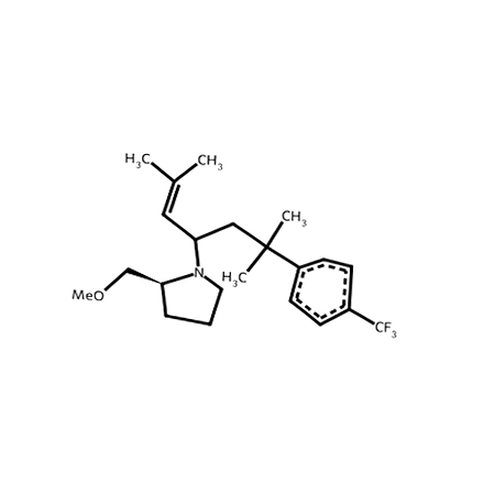 COC[C@@H]1CCCN1C(C=C(C)C)CC(C)(C)c1ccc(C(F)(F)F)cc1